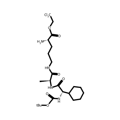 C[C@H](NC(=O)[C@@H](NC(=O)OC(C)(C)C)C1CCCCC1)C(=O)NCCC[C@H](N)C(=O)OCC(Cl)(Cl)Cl